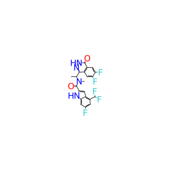 CC(c1n[nH]c(=O)c2cc(F)c(F)cc12)N(C)C(=O)c1cc2c(C(F)F)cc(F)cc2[nH]1